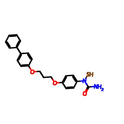 NC(=O)N(S)c1ccc(OCCCOc2ccc(-c3ccccc3)cc2)cc1